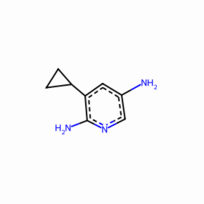 Nc1cnc(N)c(C2CC2)c1